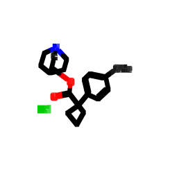 COc1ccc(C2(C(=O)OC3CN4CCC3CC4)CCC2)cc1.Cl